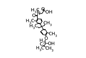 CCC(CC)(c1ccc(OC[C@@H](O)C(C)(C)C)c(C)c1)c1ccc(C(=O)N(C)CC(=O)O)c(C)c1